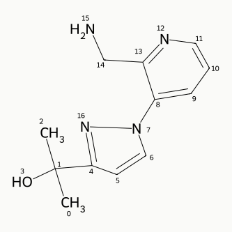 CC(C)(O)c1ccn(-c2cccnc2CN)n1